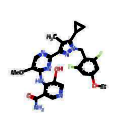 CCOc1cc(F)c(Cn2nc(-c3ncc(OC)c(Nc4c(O)cncc4C(N)=O)n3)c(C)c2C2CC2)c(F)c1